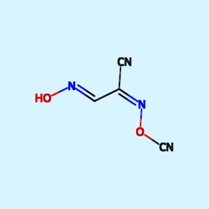 N#CON=C(C#N)C=NO